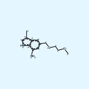 COCCOCc1cc(N)c2[nH]cc(C)c2c1